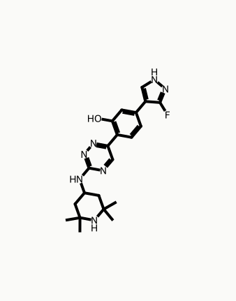 CC1(C)CC(Nc2ncc(-c3ccc(-c4c[nH]nc4F)cc3O)nn2)CC(C)(C)N1